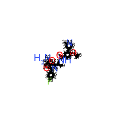 C=CC(CNC(=O)c1ccc(OC2CC2)c(-c2ccnc(C)c2)c1)c1cc2c(c(-c3ccc(F)cc3)n1)OC[C@]2(C)C(N)=O